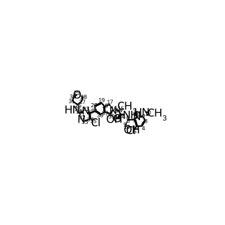 CNc1ccc(Cl)c([C@@H](CO)NC(=O)[C@@H](C)N2Cc3ccc(-c4nc(NC5CCOCC5)ncc4Cl)cc3C2O)n1